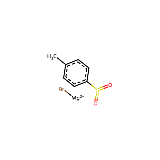 Cc1ccc([SH](=O)=O)cc1.[Mg+2][Br]